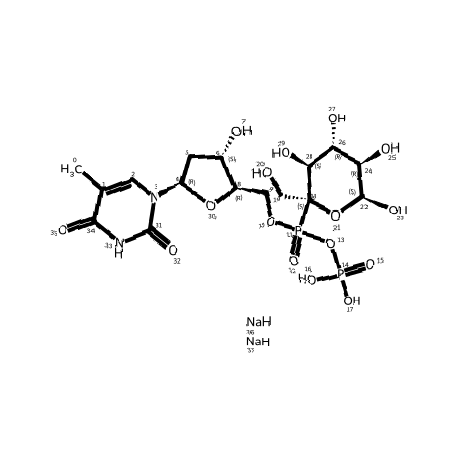 Cc1cn([C@H]2C[C@H](O)[C@@H](COP(=O)(OP(=O)(O)O)[C@]3(CO)O[C@H](O)[C@H](O)[C@@H](O)[C@@H]3O)O2)c(=O)[nH]c1=O.[NaH].[NaH]